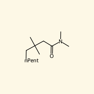 CCCCCCC(C)(C)CC(=O)N(C)C